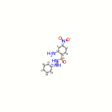 Nc1cc([N+](=O)[O-])ccc1C(=O)NNc1ccccc1